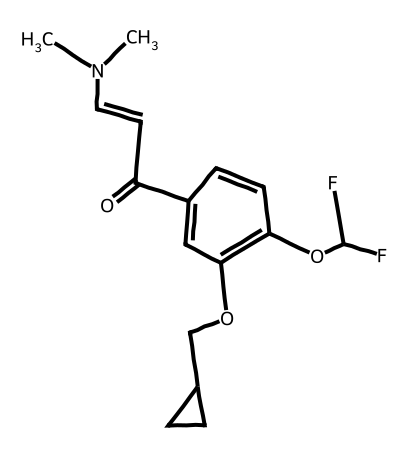 CN(C)C=CC(=O)c1ccc(OC(F)F)c(OCC2CC2)c1